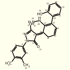 CC1=NN(c2ccc(C)c(C)c2)C(=O)C1=C1CC=CC(c2ccccc2O)=C1NN